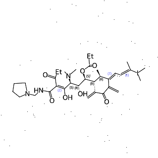 C=C1C(=O)C(=C)[C@H]([C@H](OC(=O)CC)[C@H](O)[C@@H](/C(O)=C(\C(=O)CC)C(=O)NCN2CCCC2)N(C)C)[C@@H](C)/C1=C/C=C(\C)I(C)C